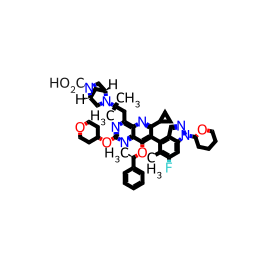 Cc1c(F)cc2c(cnn2C2CCCCO2)c1-c1c(C2CC2)nc2c(CC(C)(C)N3C[C@@H]4C[C@H]3CN4C(=O)O)nc(OC3CCOCC3)nc2c1O[C@@H](C)c1ccccc1